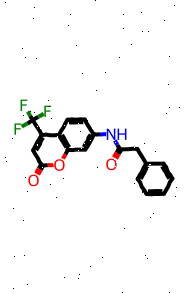 O=C(Cc1ccccc1)Nc1ccc2c(C(F)(F)F)cc(=O)oc2c1